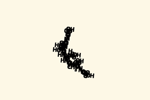 Cc1cc(Nc2nc(NCS(=O)(=O)O)nc(Nc3ccc(N=Nc4ccc(N=Nc5ccc(S(=O)(=O)O)cc5)cc4S(=O)(=O)O)c(C(=O)O)c3)n2)ccc1N=Nc1ccc(N=Nc2ccc(S(=O)(=O)O)cc2)cc1S(=O)(=O)O